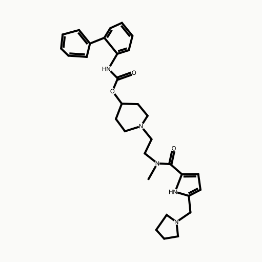 CN(CCN1CCC(OC(=O)Nc2ccccc2-c2ccccc2)CC1)C(=O)c1ccc(CN2CCCC2)[nH]1